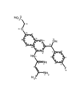 C/C(N)=C/C(=N)Nc1nc(C(O)c2ccc(F)cc2)nc2cc(OCC(=O)O)ccc12